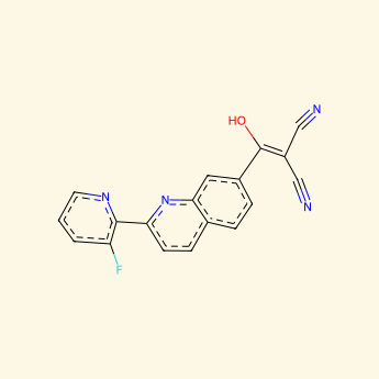 N#CC(C#N)=C(O)c1ccc2ccc(-c3ncccc3F)nc2c1